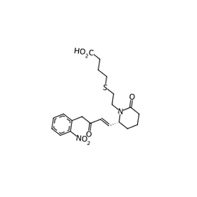 O=C(O)CCCSCCN1C(=O)CCC[C@@H]1/C=C/C(=O)Cc1ccccc1[N+](=O)[O-]